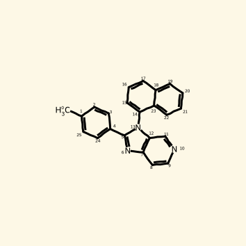 Cc1ccc(-c2nc3ccncc3n2-c2cccc3ccccc23)cc1